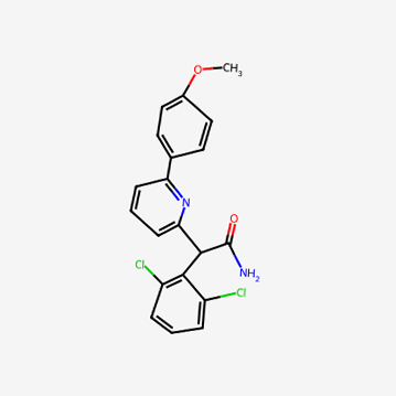 COc1ccc(-c2cccc(C(C(N)=O)c3c(Cl)cccc3Cl)n2)cc1